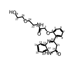 O=C(COc1ccccc1C1=Nc2ccccc2NC(=O)C1)NCCOCCO